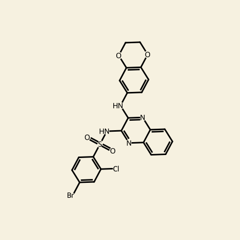 O=S(=O)(Nc1nc2ccccc2nc1Nc1ccc2c(c1)OCCO2)c1ccc(Br)cc1Cl